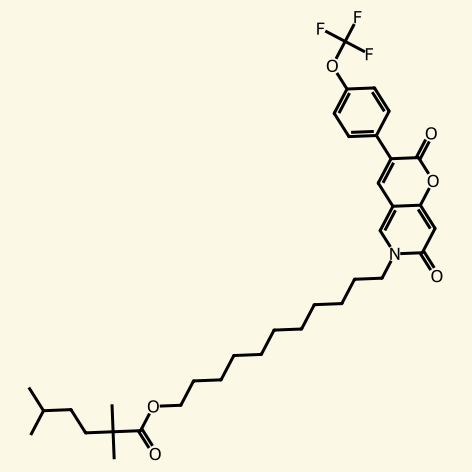 CC(C)CCC(C)(C)C(=O)OCCCCCCCCCCCn1cc2cc(-c3ccc(OC(F)(F)F)cc3)c(=O)oc2cc1=O